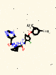 Cc1ccc(Oc2ccc(CNC(=O)C3(NC(=O)c4cncnc4)CC3)c(F)c2)c(C)c1